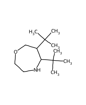 CC(C)(C)C1COCCNC1C(C)(C)C